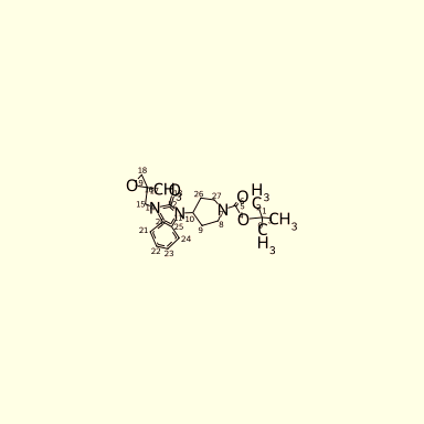 CC(C)(C)OC(=O)N1CCC(n2c(=O)n(CC3(C)CO3)c3ccccc32)CC1